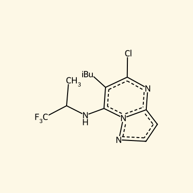 CCC(C)c1c(Cl)nc2ccnn2c1NC(C)C(F)(F)F